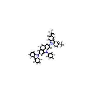 CC(C)(C)c1ccc2c(c1)c1cc(C(C)(C)C)ccc1n2-c1cc2c3c4c(cc(-n5c6ccccc6c6ccccc65)cc4n(-c4ccccc4)c3c1)CC2